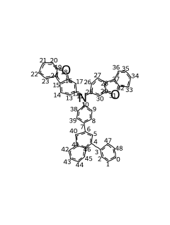 c1ccc(-c2cc(-c3ccc(N(c4ccc5c(c4)oc4ccccc45)c4ccc5c(c4)oc4ccccc45)cc3)cc3ccccc23)cc1